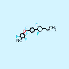 C/C=C\CC1CC(F)C(c2ccc(C(F)(F)Oc3cc(F)c(C#N)c(F)c3)cc2)C(F)C1